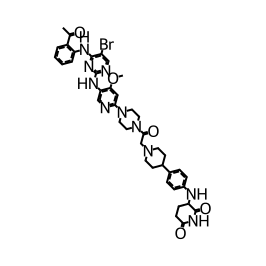 COc1cc(N2CCN(C(=O)CN3CCC(c4ccc(NC5CCC(=O)NC5=O)cc4)CC3)CC2)ncc1Nc1ncc(Br)c(Nc2ccccc2C(C)=O)n1